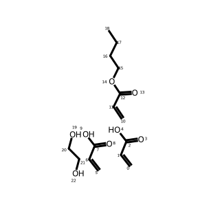 C=CC(=O)O.C=CC(=O)O.C=CC(=O)OCCCC.OCCO